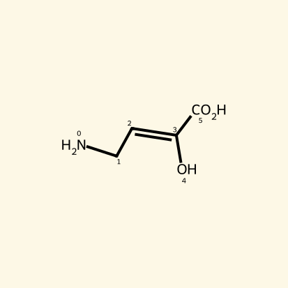 NCC=C(O)C(=O)O